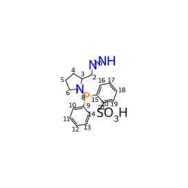 N=NCC1CCCN1P(c1ccccc1)c1ccccc1S(=O)(=O)O